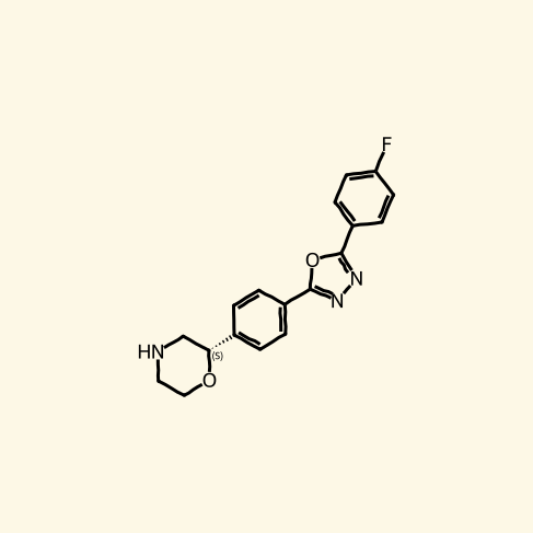 Fc1ccc(-c2nnc(-c3ccc([C@H]4CNCCO4)cc3)o2)cc1